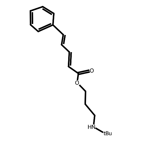 CC(C)(C)NCCCOC(=O)/C=C/C=C/c1ccccc1